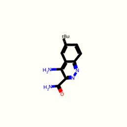 CC(C)(C)c1ccc2nnc(C(N)=O)c(N)c2c1